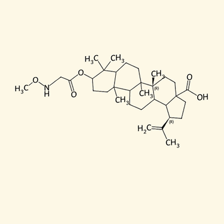 C=C(C)[C@@H]1CCC2(C(=O)O)CC[C@]3(C)C(CCC4C5(C)CCC(OC(=O)CNOC)C(C)(C)C5CCC43C)C12